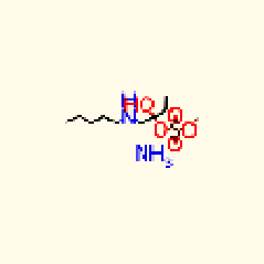 CCCCCNCC(O)(CC)OS(=O)(=O)OC.N